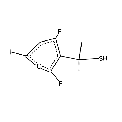 CC(C)(S)c1c(F)cc(I)cc1F